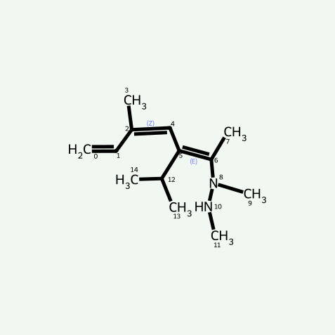 C=C/C(C)=C\C(=C(/C)N(C)NC)C(C)C